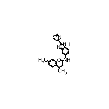 Cc1ccc(C(C)CC(=O)Nc2ccc3[nH]c(-c4cscn4)nc3c2)cc1